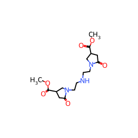 COC(=O)C1CC(=O)N(CCNCCN2CC(C(=O)OC)CC2=O)C1